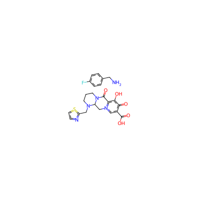 NCc1ccc(F)cc1.O=C(O)c1cn2c(c(O)c1=O)C(=O)N1CCCN(Cc3nccs3)C1C2